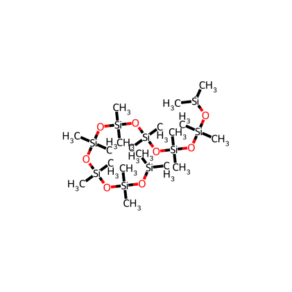 C[Si](C)O[Si](C)(C)O[Si](C)(C)O[Si](C)(C)O[Si](C)(C)O[Si](C)(C)O[Si](C)(C)O[Si](C)(C)O[Si](C)C